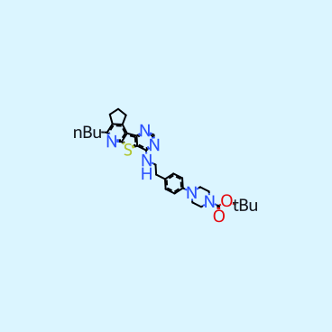 CCCCc1nc2sc3c(NCCc4ccc(N5CCN(C(=O)OC(C)(C)C)CC5)cc4)ncnc3c2c2c1CCC2